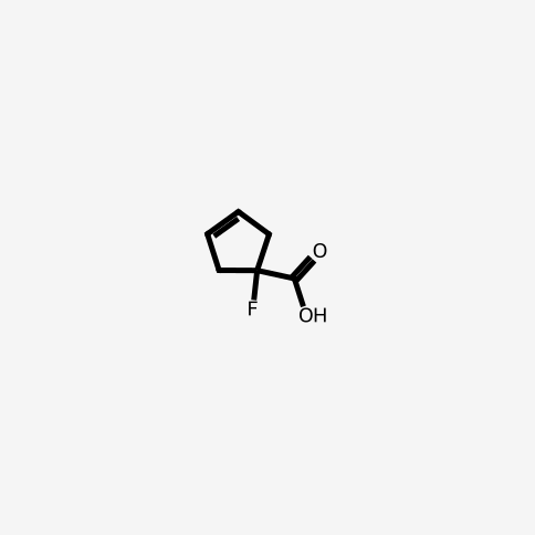 O=C(O)C1(F)CC=CC1